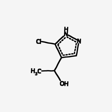 CC(O)c1cn[nH]c1Cl